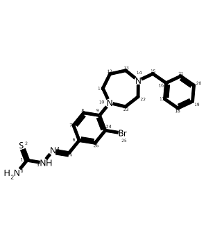 NC(=S)N/N=C/c1ccc(N2CCCN(Cc3ccccc3)CC2)c(Br)c1